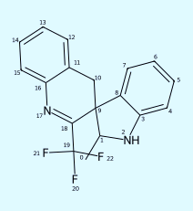 CC1Nc2ccccc2C12Cc1ccccc1N=C2C(F)(F)F